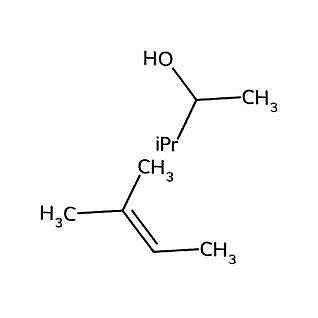 CC(C)C(C)O.CC=C(C)C